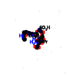 Cc1c(-c2ccc(N3CCc4cccc(C(=O)Nc5nc6ccccc6s5)c4C3)nc2C(=O)O)cnn1CC12CC3(C)CC(C)(C1)CC(OCCN(CCS(=O)(=O)O)C1CN(C(=O)OCc4ccc(N(C(=O)[C@@H](NC(=O)CCCCCN5C(=O)C=CC5=O)C(C)C)[C@@H](CCCNC(N)=O)C(N)=O)cc4)C1)(C3)C2